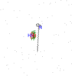 CCCCCCCCCCCCCCCCCCCCCCc1nccc2ccccc12.O=S(=O)(NS(=O)(=O)C(F)(F)F)C(F)(F)F